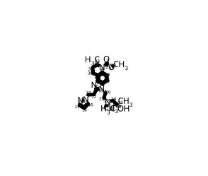 COC(=O)N1c2ccc3c(nc(CCn4cccn4)n3CCN(C)CC(C)(C)O)c2CC[C@@H]1C